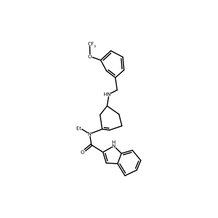 CCN(C(=O)c1cc2ccccc2[nH]1)C1=CCCC(NCc2cccc(OC(F)(F)F)c2)C1